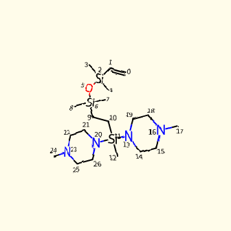 C=C[Si](C)(C)O[Si](C)(C)CC[Si](C)(N1CCN(C)CC1)N1CCN(C)CC1